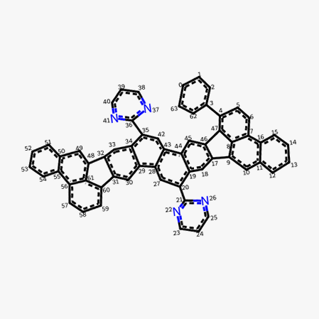 c1ccc(-c2ccc3c4c(cc5ccccc53)-c3cc5c(-c6ncccn6)cc6c7cc8c(cc7c(-c7ncccn7)cc6c5cc3-c24)-c2cc3ccccc3c3cccc-8c23)cc1